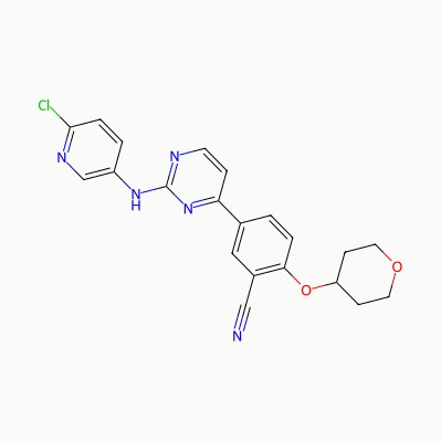 N#Cc1cc(-c2ccnc(Nc3ccc(Cl)nc3)n2)ccc1OC1CCOCC1